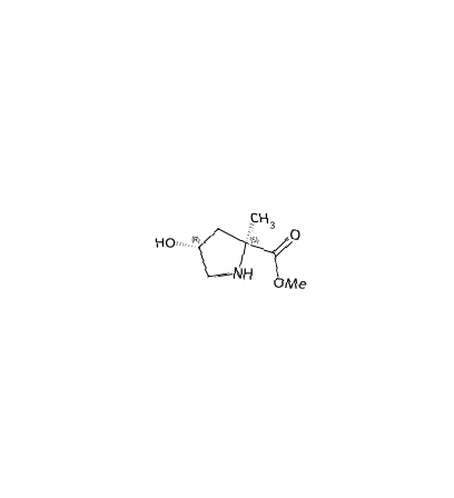 COC(=O)[C@]1(C)C[C@@H](O)CN1